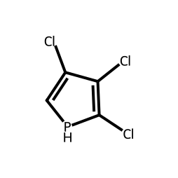 Clc1c[pH]c(Cl)c1Cl